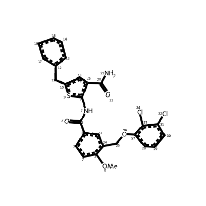 COc1ccc(C(=O)Nc2sc(Cc3ccccc3)cc2C(N)=O)cc1COc1cccc(Cl)c1Cl